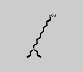 C=CCN(CC=C)CCCCCCCCC=CCCCCCCCC